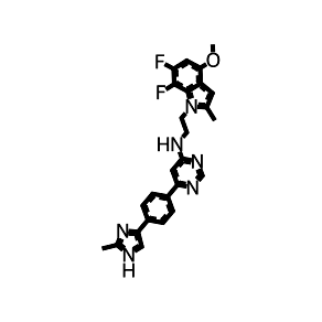 COc1cc(F)c(F)c2c1cc(C)n2CCNc1cc(-c2ccc(-c3c[nH]c(C)n3)cc2)ncn1